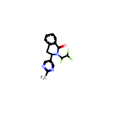 O=C1c2ccccc2CC(c2cnc(C(F)(F)F)nc2)N1C(F)C(F)F